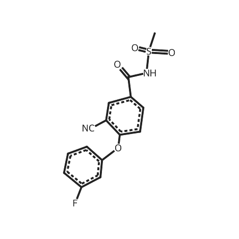 CS(=O)(=O)NC(=O)c1ccc(Oc2cccc(F)c2)c(C#N)c1